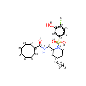 O=C(NCC1CCCCN1S(=O)(=O)c1ccc(F)c(O)c1)[C]1CCCCCCC1.[CH2].[CH2]